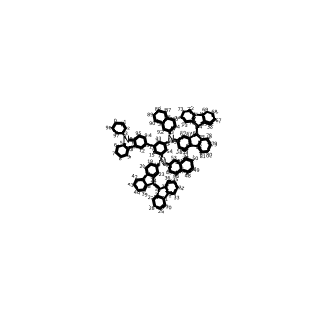 c1ccc(-n2c3ccccc3c3cc(-c4cc(N(c5ccc6c(c5)C(=C5c7ccccc7-c7ccccc75)c5ccccc5-6)c5ccc6ccccc6c5)cc(N(c5ccc6c(c5)C(C5c7ccccc7-c7ccccc75)c5ccccc5-6)c5ccc6ccccc6c5)c4)ccc32)cc1